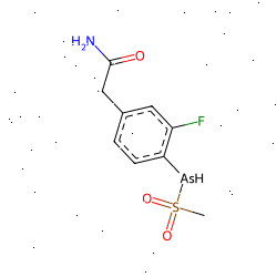 CS(=O)(=O)[AsH]c1ccc([CH]C(N)=O)cc1F